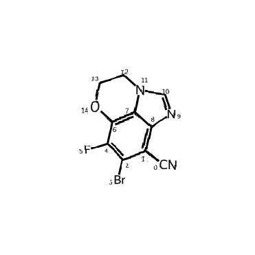 N#Cc1c(Br)c(F)c2c3c1ncn3CCO2